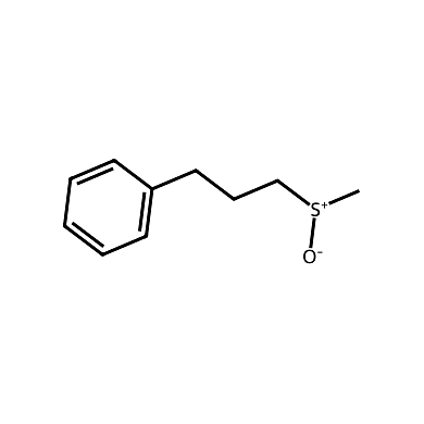 C[S+]([O-])CCCc1ccccc1